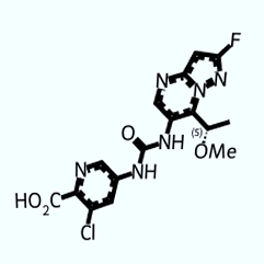 CO[C@@H](C)c1c(NC(=O)Nc2cnc(C(=O)O)c(Cl)c2)cnc2cc(F)nn12